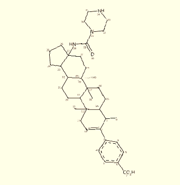 CC1C(c2ccc(C(=O)O)cc2)=CCC2(C)C1CCC1(C)C2CCC2C3CCCC3(NC(=O)N3CCNCC3)CC[C@]21C